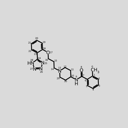 Cc1ccccc1C(=O)NC1CCN(CCCOc2ccccc2-c2nnn[nH]2)CC1